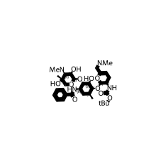 CNCC1=CC[C@@H](NC(=O)OC(C)(C)C)[C@@H](O[C@H]2[C@H](O)[C@@H](O[C@H]3OC[C@](C)(O)[C@H](NC)[C@H]3O)[C@H](NC(=O)c3ccccc3)C[C@@H]2C)O1